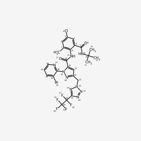 Cc1cc(Cl)cc(C(=O)NC(C)(C)C)c1NC(=O)c1cc(Cn2nnc(C(F)(F)C(F)(F)F)n2)nn1-c1ncccc1Br